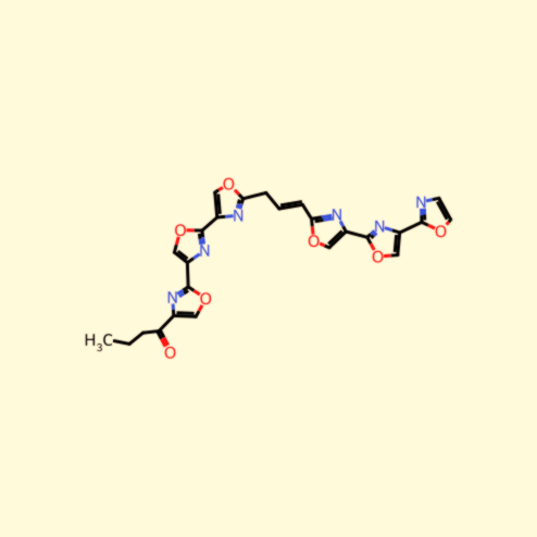 CCCC(=O)c1coc(-c2coc(-c3coc(C/C=C/c4nc(-c5nc(-c6ncco6)co5)co4)n3)n2)n1